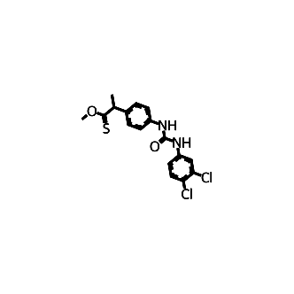 COC(=S)C(C)c1ccc(NC(=O)Nc2ccc(Cl)c(Cl)c2)cc1